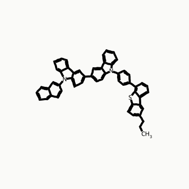 CCCc1ccc2sc3c(-c4ccc(-n5c6ccccc6c6cc(-c7ccc8c(c7)c7ccccc7n8-c7ccc8ccccc8c7)ccc65)cc4)cccc3c2c1